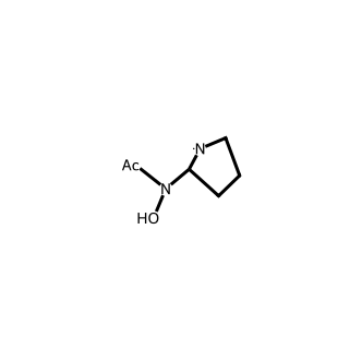 CC(=O)N(O)C1CCC[N]1